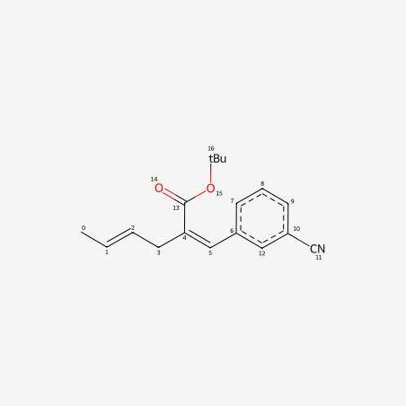 CC=CCC(=Cc1cccc(C#N)c1)C(=O)OC(C)(C)C